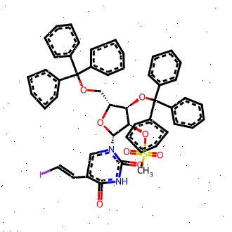 CS(=O)(=O)O[C@@H]1[C@H](OC(c2ccccc2)(c2ccccc2)c2ccccc2)[C@@H](COC(c2ccccc2)(c2ccccc2)c2ccccc2)O[C@H]1n1cc(C=CI)c(=O)[nH]c1=O